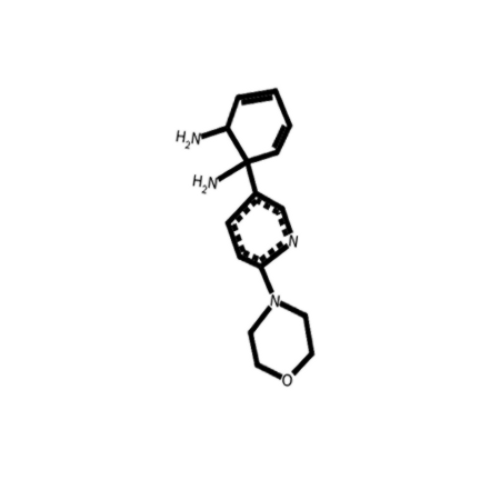 NC1C=CC=CC1(N)c1ccc(N2CCOCC2)nc1